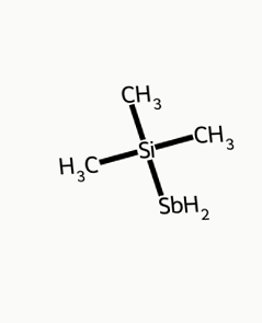 C[Si](C)(C)[SbH2]